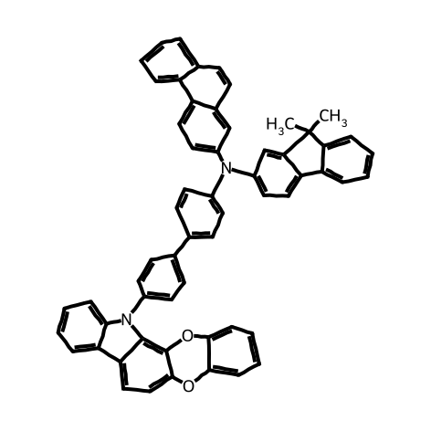 CC1(C)c2ccccc2-c2ccc(N(c3ccc(-c4ccc(-n5c6ccccc6c6ccc7c(c65)Oc5ccccc5O7)cc4)cc3)c3ccc4c(ccc5ccccc54)c3)cc21